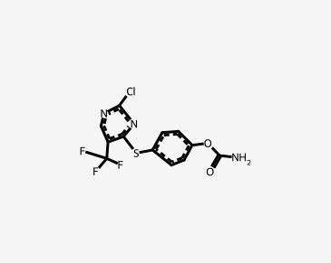 NC(=O)Oc1ccc(Sc2nc(Cl)ncc2C(F)(F)F)cc1